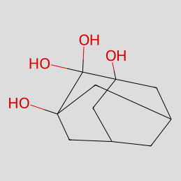 OC12CC3CC(C1)CC(O)(C3)C2(O)O